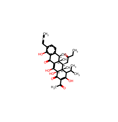 C=C=Cc1ccc2c(c1O)C(=O)C1=C(O)[C@@]3(O)C(=O)C(C(C)=O)=C(O)C(C(C)C)[C@@]3(C)[C@H](CC(=O)CC)[C@@]1(C)[C@@H]2C